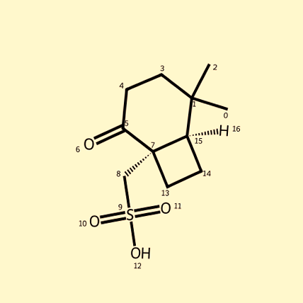 CC1(C)CCC(=O)[C@]2(CS(=O)(=O)O)CC[C@H]12